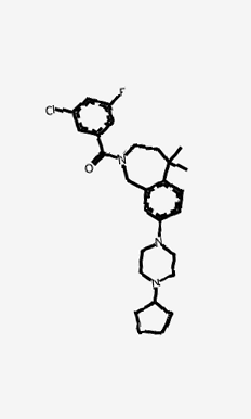 CC1(C)CCN(C(=O)c2cc(F)cc(Cl)c2)Cc2cc(N3CCN(C4CCCC4)CC3)ccc21